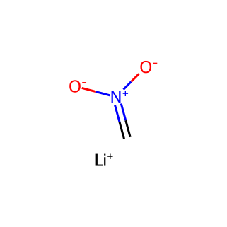 C=[N+]([O-])[O-].[Li+]